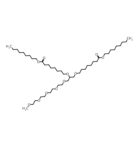 CCCCCCCCCOC(=O)CCCCCCCOCC(COCCOCCOCCOCCOC)OCCCCCCCC(=O)OCCCCCCCCC